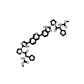 COC(=O)N[C@H](C(=O)N1CCC[C@H]1c1ncc(-c2ccc3cc(-c4ccc5nc([C@@H]6CCCN6C(=O)[C@@H](NC(=O)OC)C6CCCC6)[nH]c5c4)ncc3c2)[nH]1)C1CCCC1